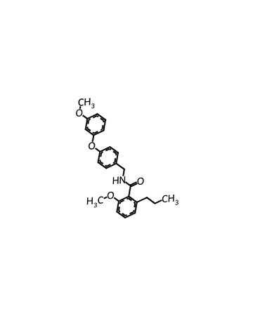 CCCc1cccc(OC)c1C(=O)NCc1ccc(Oc2cccc(OC)c2)cc1